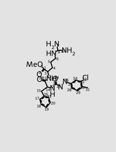 COC(=O)C(CCCNC(N)N)NC(=O)C(Cc1ccccc1)NC(=O)/N=N/c1ccc(C)c(Cl)c1